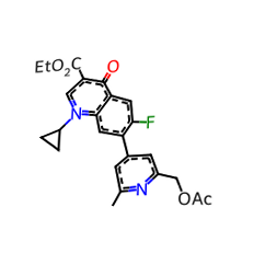 CCOC(=O)c1cn(C2CC2)c2cc(-c3cc(C)nc(COC(C)=O)c3)c(F)cc2c1=O